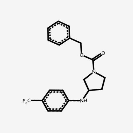 O=C(OCc1ccccc1)N1CCC(Nc2ccc(C(F)(F)F)cc2)C1